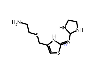 NCCSCc1cs/c(=N/C2NCCN2)[nH]1